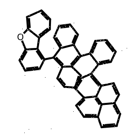 c1ccc(-c2ccc3ccc4cccc5ccc2c3c45)c(-c2c3ccccc3c(-c3cccc4oc5ccccc5c34)c3ccccc23)c1